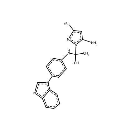 CC(C)(C)c1cc(N)n(C(C)(O)Nc2ccc(-n3cnc4ccccc43)cc2)n1